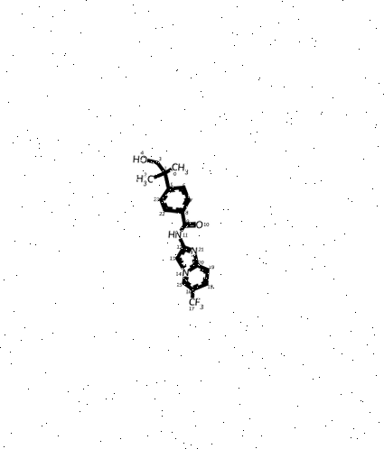 CC(C)(CO)c1ccc(C(=O)Nc2cn3cc(C(F)(F)F)ccc3n2)cc1